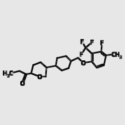 CCC(=O)C1CCC(C2CCC(COc3ccc(C)c(F)c3C(F)(F)F)CC2)CO1